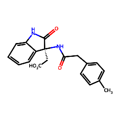 Cc1ccc(CC(=O)N[C@]2(CC(=O)O)C(=O)Nc3ccccc32)cc1